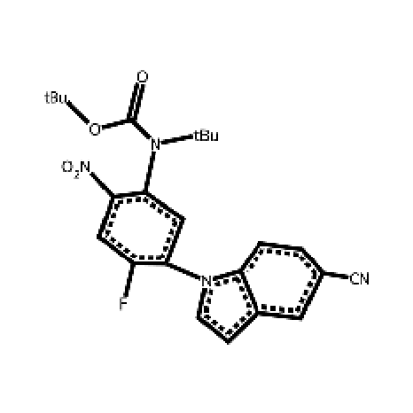 CC(C)(C)OC(=O)N(c1cc(-n2ccc3cc(C#N)ccc32)c(F)cc1[N+](=O)[O-])C(C)(C)C